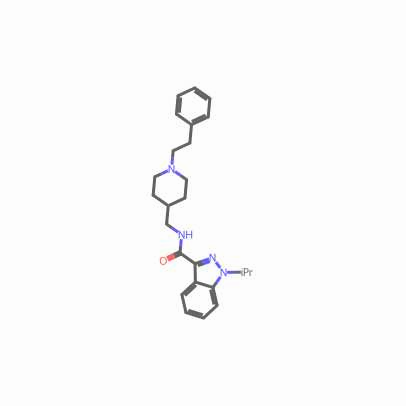 CC(C)n1nc(C(=O)NCC2CCN(CCc3ccccc3)CC2)c2ccccc21